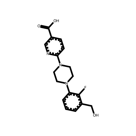 O=C(O)c1ccc(N2CCN(c3cccc(CO)c3F)CC2)nc1